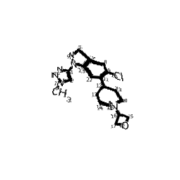 Cn1cc(-n2ncc3cc(Cl)c(C4CCN(C5COC5)CC4)cc32)nn1